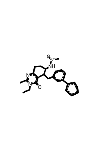 CCn1c(C)nc2c(c1=O)C(Cc1cccc(-c3ccccc3)c1)C(N[S+](C)[O-])CC2